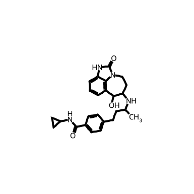 CC(CCc1ccc(C(=O)NC2CC2)cc1)NC1CCn2c(=O)[nH]c3cccc(c32)C1O